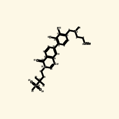 COCCN(C)Cc1ccc(-c2ccc3c(=O)n(CCC(C)(C)S(C)(=O)=O)cnc3c2)c(F)c1F